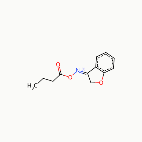 CCCC(=O)O/N=C1\COc2ccccc21